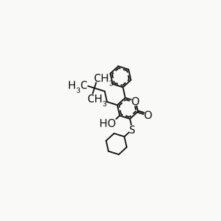 CC(C)(C)CCc1c(-c2ccccc2)oc(=O)c(SC2CCCCC2)c1O